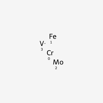 [Cr].[Fe].[Mo].[V]